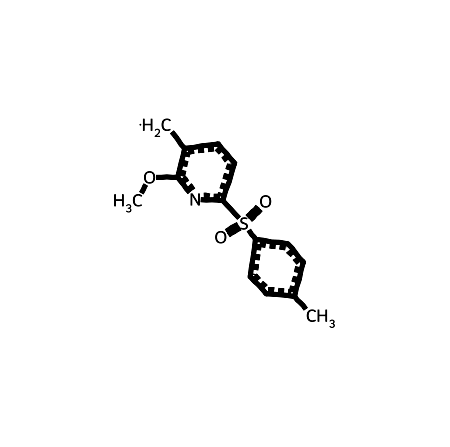 [CH2]c1ccc(S(=O)(=O)c2ccc(C)cc2)nc1OC